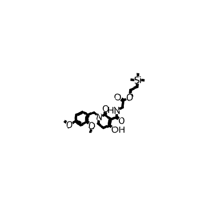 COc1ccc(CN2CCC(O)=C(C(=O)NCC(=O)OCC[Si](C)(C)C)C2=O)c(OC)c1